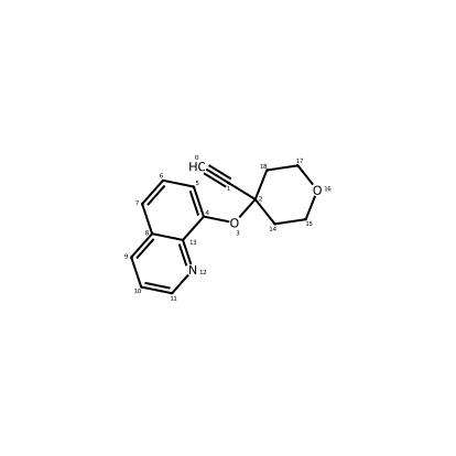 C#CC1(Oc2cccc3cccnc23)CCOCC1